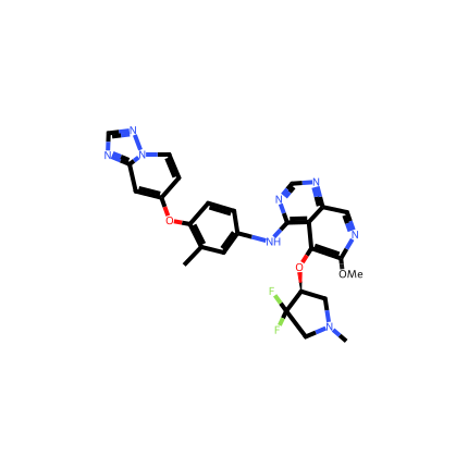 COc1ncc2ncnc(Nc3ccc(Oc4ccn5ncnc5c4)c(C)c3)c2c1O[C@H]1CN(C)CC1(F)F